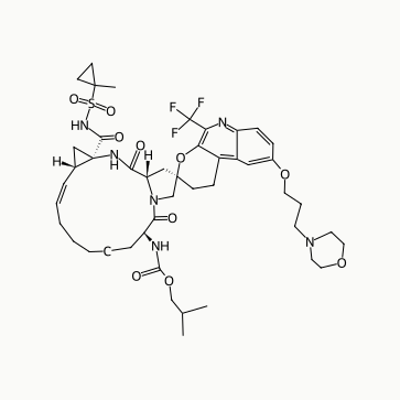 CC(C)COC(=O)N[C@H]1CCCCC/C=C\[C@@H]2C[C@@]2(C(=O)NS(=O)(=O)C2(C)CC2)NC(=O)[C@@H]2C[C@]3(CCc4c(c(C(F)(F)F)nc5ccc(OCCCN6CCOCC6)cc45)O3)CN2C1=O